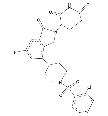 O=C1CCC(N2Cc3c(cc(F)cc3C3CCN(S(=O)(=O)c4ccccc4Cl)CC3)C2=O)C(=O)N1